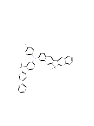 Cc1ccc(N(c2ccc3c(c2)C(C)(C)c2cc4oc5ccccc5c4cc2-3)c2ccc3cc4c(cc3c2)C(C)(C)c2cc3ccccc3cc2-4)cc1